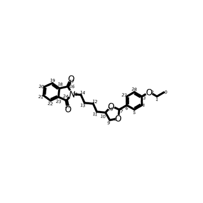 CCOc1ccc(C2OCC(CCCCN3C(=O)c4ccccc4C3=O)O2)cc1